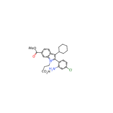 COC(=O)c1ccc2c(C3CCCCC3)c(-c3ccc(Cl)cc3N)n(CCC(=O)O)c2c1